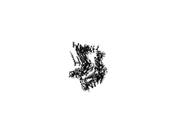 C=CC(=O)Nc1cccc(-c2c(F)ccc3cnc(Nc4ccc(N5CCCCC5)nc4)nc23)c1.C=CC(=O)Nc1cccc(-c2c(F)ccc3cnc(Nc4ccc(NC5CNC5)nc4)nc23)c1